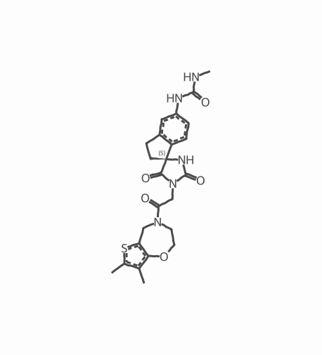 CNC(=O)Nc1ccc2c(c1)CC[C@]21NC(=O)N(CC(=O)N2CCOc3c(sc(C)c3C)C2)C1=O